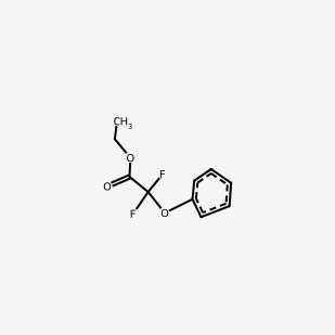 CCOC(=O)C(F)(F)Oc1ccccc1